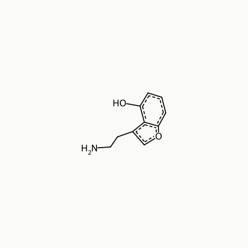 NCCc1coc2cccc(O)c12